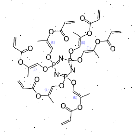 C=CC(=O)O/C(C)=C/OP1(O/C=C(\C)OC(=O)C=C)=NP(O/C=C(\C)OC(=O)C=C)(O/C=C(\C)OC(=O)C=C)=NP(O/C=C(\C)OC(=O)C=C)(O/C=C(\C)OC(=O)C=C)=N1